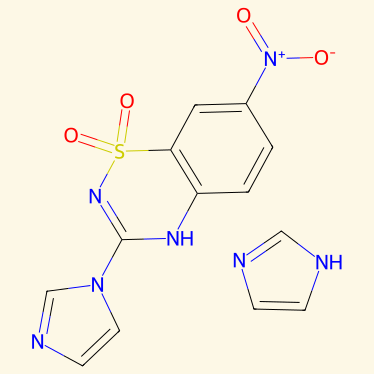 O=[N+]([O-])c1ccc2c(c1)S(=O)(=O)N=C(n1ccnc1)N2.c1c[nH]cn1